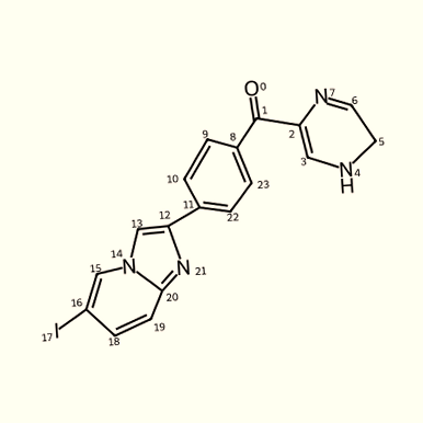 O=C(C1=CNCC=N1)c1ccc(-c2cn3cc(I)ccc3n2)cc1